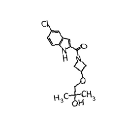 CC(C)(O)COC1CN(C(=O)c2cc3cc(Cl)ccc3[nH]2)C1